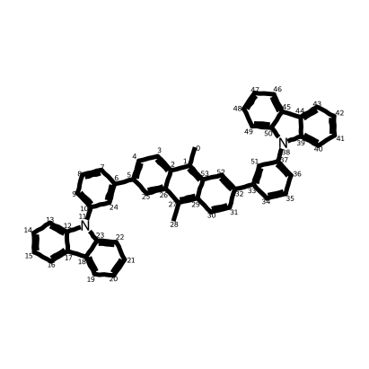 Cc1c2ccc(-c3cccc(-n4c5ccccc5c5ccccc54)c3)cc2c(C)c2ccc(-c3cccc(-n4c5ccccc5c5ccccc54)c3)cc12